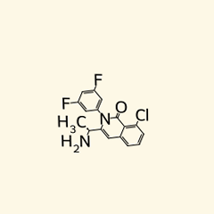 C[C@H](N)c1cc2cccc(Cl)c2c(=O)n1-c1cc(F)cc(F)c1